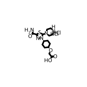 Cl.Cl.NC(=O)C1=NN([C@H]2CC[C@H](OCC(=O)O)CC2)C(N2CCNCC2)S1